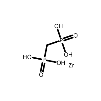 O=P(O)(O)CP(=O)(O)O.[Zr]